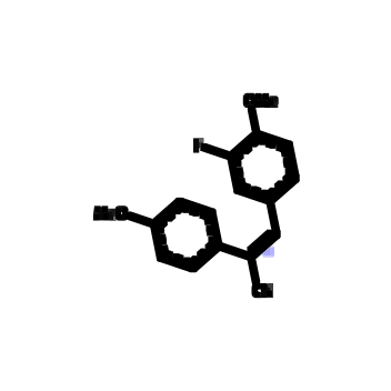 COc1ccc(/C(C#N)=C\c2ccc(OC)c(F)c2)cc1